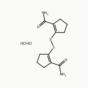 Cl.Cl.NC(=O)C1=C(SSC2=C(C(N)=O)CCC2)CCC1